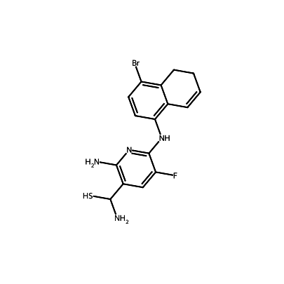 Nc1nc(Nc2ccc(Br)c3c2C=CCC3)c(F)cc1C(N)S